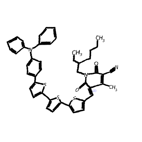 CCCCC(CC)CN1C(=O)C(C#N)=C(C)/C(=C/c2ccc(-c3ccc(-c4ccc(-c5ccc(N(c6ccccc6)c6ccccc6)cc5)s4)s3)s2)C1=O